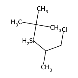 CC(CCl)[SiH2]C(C)(C)C